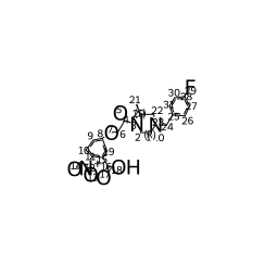 C[C@@H]1CN(C(=O)COc2ccc([N+](=O)[O-])c(C(=O)O)c2)[C@@H](C)CN1Cc1ccc(F)cc1